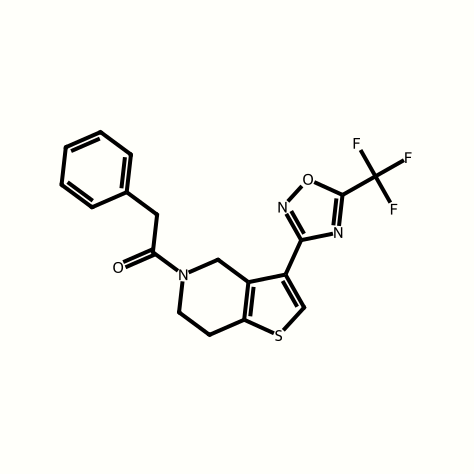 O=C(Cc1ccccc1)N1CCc2scc(-c3noc(C(F)(F)F)n3)c2C1